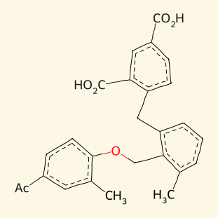 CC(=O)c1ccc(OCc2c(C)cccc2Cc2ccc(C(=O)O)cc2C(=O)O)c(C)c1